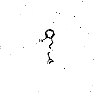 Oc1ccccc1CCOCC1CO1